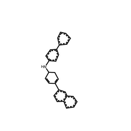 C1=CC(Nc2ccc(-c3ccccc3)cc2)CC=C1c1ccc2ccccc2c1